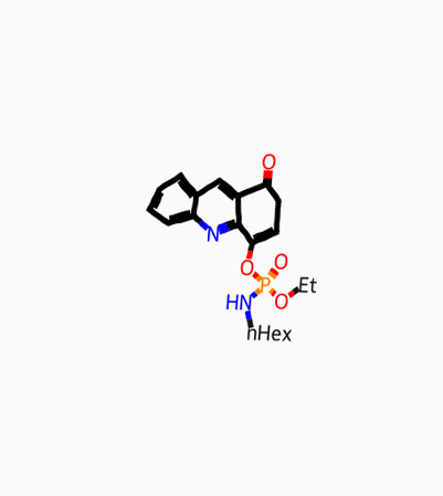 CCCCCCNP(=O)(OCC)OC1=CCC(=O)c2cc3ccccc3nc21